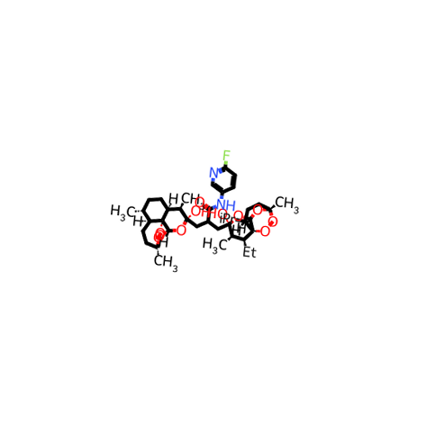 CC[C@H]1[C@@H](C)[C@@](O)(CC(C[C@@]2(O)O[C@@H]3O[C@]4(C)CC[C@H]5[C@H](C)CC[C@@H]([C@H]2C)[C@@]35OO4)C(=O)Nc2ccc(F)nc2)O[C@@H]2O[C@]3(C)CC[C@@H](C(C)C)[C@]21OO3